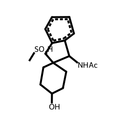 CC(=O)NC1c2ccccc2CC12CCC(O)CC2.CS(=O)(=O)O